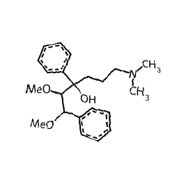 COC(c1ccccc1)C(OC)C(O)(CCCN(C)C)c1ccccc1